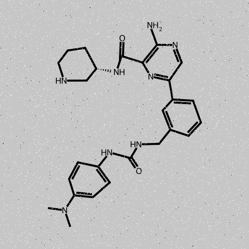 CN(C)c1ccc(NC(=O)NCc2cccc(-c3cnc(N)c(C(=O)N[C@H]4CCCNC4)n3)c2)cc1